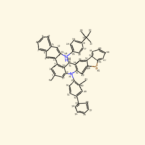 Cc1cc(-c2cc3ccccc3cc2Nc2ccc(C(C)(C)C)cc2)c2c(c1)N(c1ccc(-c3ccccc3)cc1C)c1cc3sc4ccccc4c3cc1B2